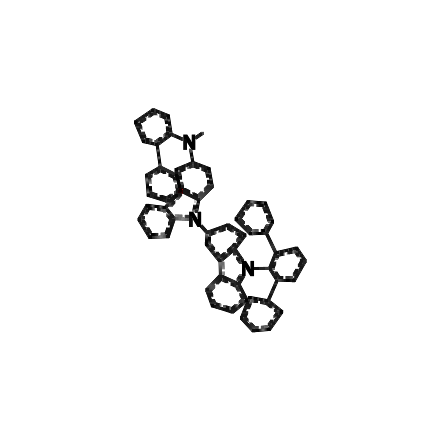 CN(c1ccc2c(c1)c1ccccc1n2-c1ccc2c(c1)c1ccccc1n2-c1c(-c2ccccc2)cccc1-c1ccccc1)c1ccccc1-c1ccccc1